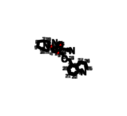 N#Cc1ccc(N2C3CCC2CN(C(=O)CCOCc2cccc4ncccc24)C3)nc1